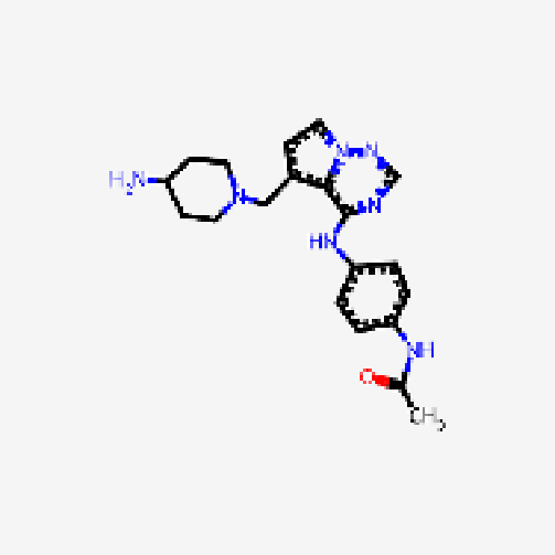 CC(=O)Nc1ccc(Nc2ncnn3ccc(CN4CCC(N)CC4)c23)cc1